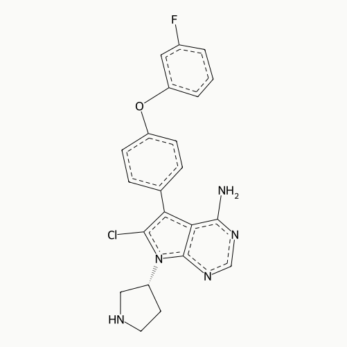 Nc1ncnc2c1c(-c1ccc(Oc3cccc(F)c3)cc1)c(Cl)n2[C@@H]1CCNC1